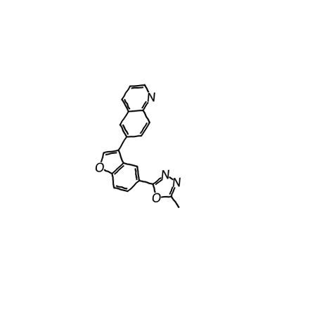 Cc1nnc(-c2ccc3occ(-c4ccc5ncccc5c4)c3c2)o1